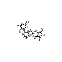 Cc1cc(Cl)cc(-c2ncnc3cc(CN4C(=O)CNC4=O)sc23)c1C